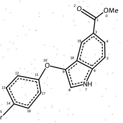 COC(=O)c1ccc2[nH]cc(Oc3ccc(Br)cc3)c2c1